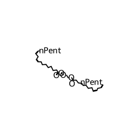 CCCCC/C=C\C/C=C\CCCCCCCC(=O)OCCOOC(=O)CCCCCCC/C=C\C/C=C\CCCCC